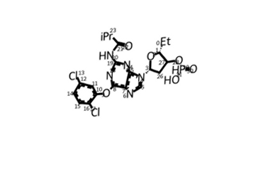 CC[C@H]1O[C@@H](n2cnc3c(Oc4cc(Cl)ccc4Cl)nc(NC(=O)C(C)C)nc32)CC1O[PH](=O)O